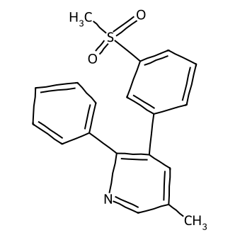 Cc1cnc(-c2ccccc2)c(-c2cccc(S(C)(=O)=O)c2)c1